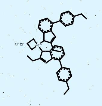 CCC1=Cc2c(-c3ccc(CC)cc3)cccc2[CH]1[Hf+2]1([CH]2C(CC)=Cc3c(-c4ccc(CC)cc4)cccc32)[CH2]C[CH2]1.[Cl-].[Cl-]